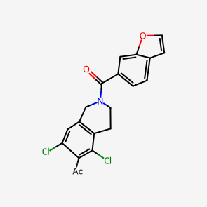 CC(=O)c1c(Cl)cc2c(c1Cl)CCN(C(=O)c1ccc3ccoc3c1)C2